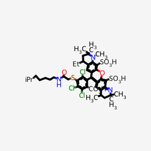 CCC1CC(C)(C)N(C)c2c1cc1c(c2S(=O)(=O)O)Oc2c(S(=O)(=O)O)c3c(cc2=C1c1c(Cl)c(SCC(=O)NCCCCCC(C)C)c(Cl)c(Cl)c1C(=O)O)C(C)CC(C)(C)N=3